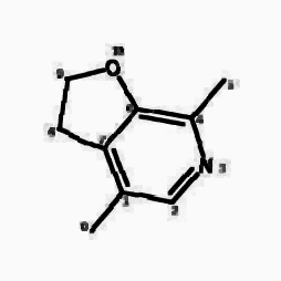 Cc1cnc(C)c2c1CCO2